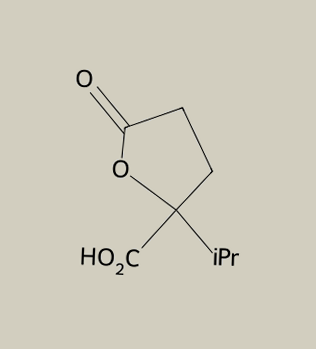 CC(C)C1(C(=O)O)CCC(=O)O1